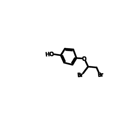 Oc1ccc(OC(Br)CBr)cc1